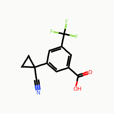 N#CC1(c2cc(C(=O)O)cc(C(F)(F)F)c2)CC1